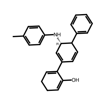 Cc1ccc(N[C@H]2C=C(C3=CCCC=C3O)C=CC2c2ccccc2)cc1